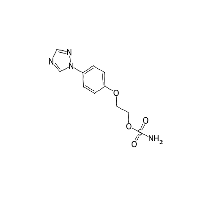 NS(=O)(=O)OCCOc1ccc(-n2cncn2)cc1